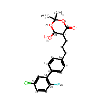 CC1(C)OC(=O)C(CCCc2ccc(-c3cc(Cl)ccc3F)cc2)C(O)O1